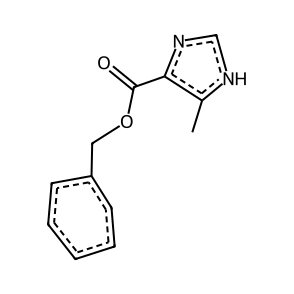 Cc1[nH]cnc1C(=O)OCc1ccccc1